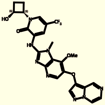 COc1c(Oc2cnn3ccncc23)cnc2nc(Nc3cc(C(F)(F)F)cn([C@H]4CC[C@@H]4O)c3=O)n(C)c12